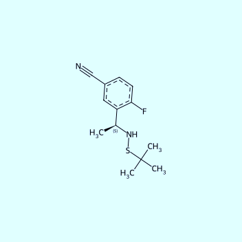 C[C@H](NSC(C)(C)C)c1cc(C#N)ccc1F